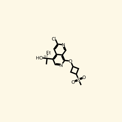 CC[C@](C)(O)c1cnc(OC2CC(S(C)(=O)=O)C2)c2cnc(Cl)cc12